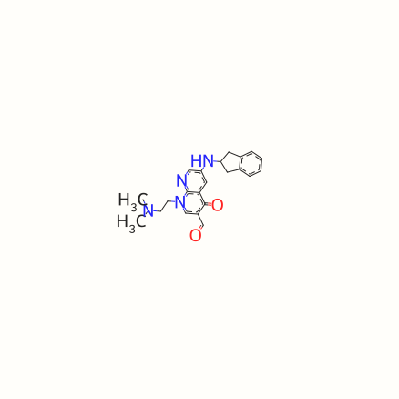 CN(C)CCn1cc(C=O)c(=O)c2cc(NC3Cc4ccccc4C3)cnc21